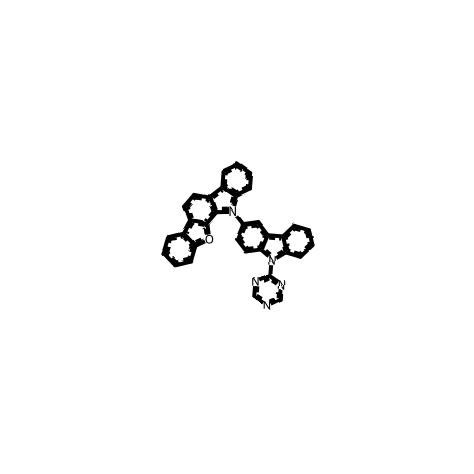 c1ccc2c(c1)oc1c2ccc2c3ccccc3n(-c3ccc4c(c3)c3ccccc3n4-c3ncncn3)c21